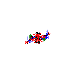 O=C(Nc1ccc(NCC2CO2)cc1)C(CC(F)(F)F)N1C(=O)c2cc(Oc3ccccc3)c3c4c(Oc5ccccc5)cc5c6c(cc(Oc7ccccc7)c(c7c(Oc8ccccc8)cc(c2c37)C1=O)c64)C(=O)N(C(CC(F)(F)F)C(=O)Nc1ccc(NCC2CO2)cc1)C5=O